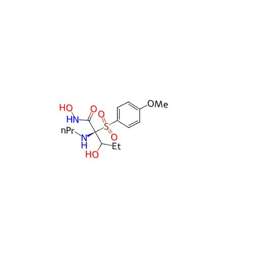 CCCN[C@](C(=O)NO)(C(O)CC)S(=O)(=O)c1ccc(OC)cc1